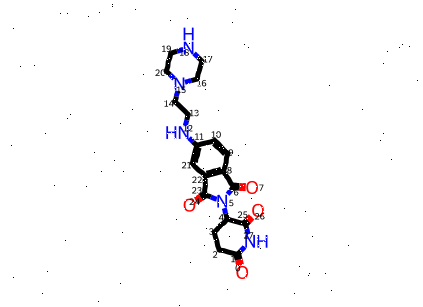 O=C1CCC(N2C(=O)c3ccc(NCCN4CCNCC4)cc3C2=O)C(=O)N1